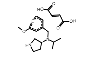 COc1cccc(CN(C(C)C)[C@H]2CCNC2)c1.O=C(O)C=CC(=O)O